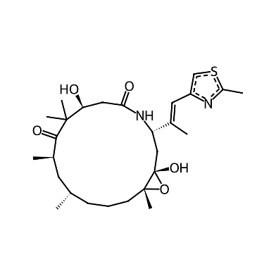 CC(=Cc1csc(C)n1)[C@@H]1C[C@]2(O)O[C@]2(C)CCC[C@H](C)C[C@@H](C)C(=O)C(C)(C)[C@@H](O)CC(=O)N1